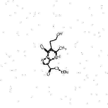 Cc1[nH]c2c(C(=O)OC(C)(C)C)cnn2c(=O)c1CCO